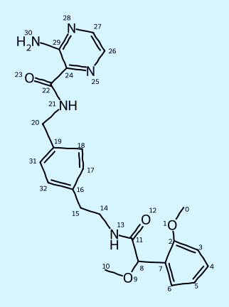 COc1ccccc1C(OC)C(=O)NCCc1ccc(CNC(=O)c2nccnc2N)cc1